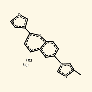 Cc1cn(-c2ccc3nc(-c4ccoc4)ccc3c2)cn1.Cl.Cl